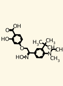 CCN(C)c1ccc(C(COc2ccc(C(=O)O)c(O)c2)=NO)cc1C(C)(C)C